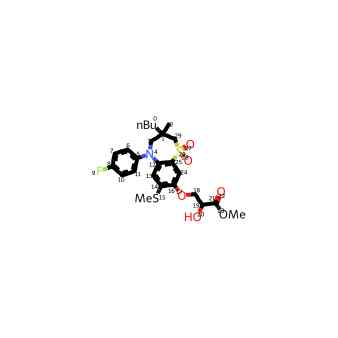 CCCCC1(C)CN(c2ccc(F)cc2)c2cc(SC)c(OCC(O)C(=O)OC)cc2S(=O)(=O)C1